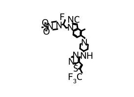 Cc1c(CN2CCC(Nc3ncnc4sc(CC(F)(F)F)cc34)CC2)ccc2c1cc(C#N)n2CC(CF)N1CCN(S(C)(=O)=O)CC1